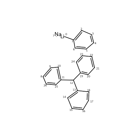 [Li][c]1ccccc1.[Na].c1ccc(C(c2ccccc2)c2ccccc2)cc1